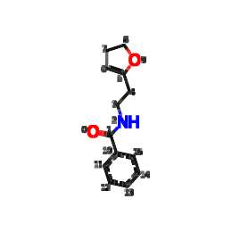 O=C(NCCC1=CCCO1)c1ccccc1